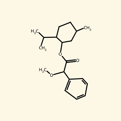 COC(C(=O)OC1CC(C)CCC1C(C)C)c1ccccc1